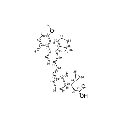 COc1ccc(F)c(-c2ccc(COc3cccc([C@H](CC(=O)O)C4CC4)c3F)cc2C2=CCCC2(C)C)c1